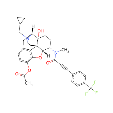 CC(=O)Oc1ccc2c3c1O[C@H]1[C@@H](N(C)C(=O)C#Cc4ccc(C(F)(F)F)cc4)CCC4(O)[C@@H](C2)N(CC2CC2)CC[C@]314